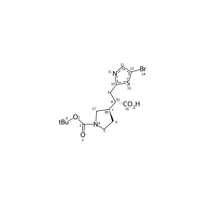 CC(C)(C)OC(=O)N1CC[C@H]([C@H](Cc2ncc(Br)s2)C(=O)O)C1